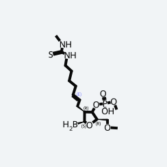 B[C@@H]1O[C@H](COC)C(OP(=O)(O)OC)[C@@H]1C/C=C/CCCCNC(=S)NC